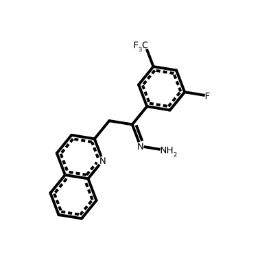 NN=C(Cc1ccc2ccccc2n1)c1cc(F)cc(C(F)(F)F)c1